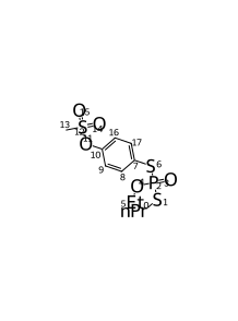 CCCSP(=O)(OCC)Sc1ccc(OS(C)(=O)=O)cc1